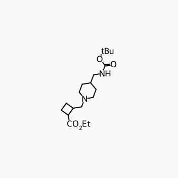 CCOC(=O)C1CCC1CN1CCC(CNC(=O)OC(C)(C)C)CC1